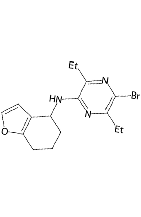 CCc1nc(NC2CCCc3occc32)c(CC)nc1Br